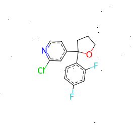 Fc1ccc(C2(c3ccnc(Cl)c3)CCCO2)c(F)c1